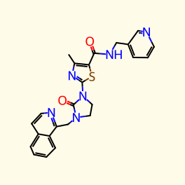 Cc1nc(N2CCN(Cc3nccc4ccccc34)C2=O)sc1C(=O)NCc1cccnc1